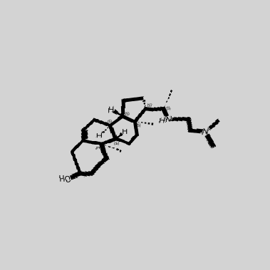 C[C@H](NCCN(C)C)[C@H]1CC[C@H]2[C@@H]3CC=C4CC(O)CC[C@]4(C)[C@H]3CC[C@]12C